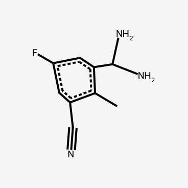 Cc1c(C#N)cc(F)cc1C(N)N